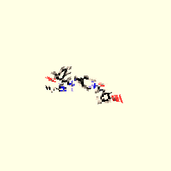 Cc1cnn2c(NCC3CCN(C(=O)/C=C/c4cccc(O)c4)CC3)cc(-c3ccccc3O)nc12